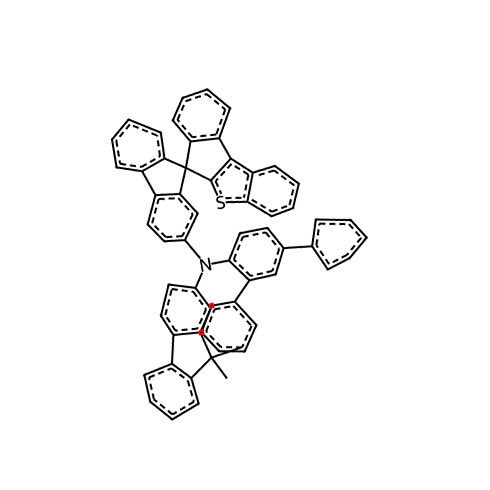 CC1(C)c2ccccc2-c2ccc(N(c3ccc4c(c3)C3(c5ccccc5-4)c4ccccc4-c4c3sc3ccccc43)c3ccc(-c4ccccc4)cc3-c3ccccc3)cc21